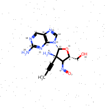 CC#C[C@@]1(N)C(N=O)[C@@H](CO)O[C@H]1n1cnc2cnc(N)nc21